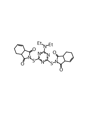 CCN(CC)c1nc(SN2C(=O)C3C=CCCC3C2=O)nc(SN2C(=O)C3C=CCCC3C2=O)n1